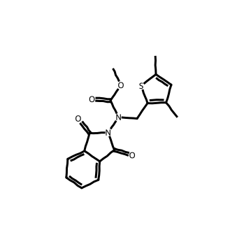 COC(=O)N(Cc1sc(C)cc1C)N1C(=O)c2ccccc2C1=O